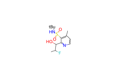 Cc1ccnc(C(O)C(C)F)c1S(=O)(=O)NC(C)(C)C